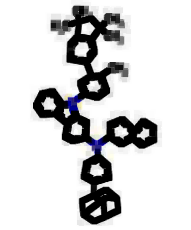 Cc1ccc(-n2c3ccccc3c3ccc(N(c4ccc(C56CC7CC(CC(C7)C5)C6)cc4)c4ccc5ccccc5c4)cc32)cc1-c1ccc2c(c1)C(C)(C)CC2(C)C